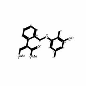 COC=C(C(=O)OC)c1ccccc1COc1cc(C)cc(O)c1C